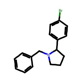 Brc1ccc(C2CCCN2Cc2ccccc2)cc1